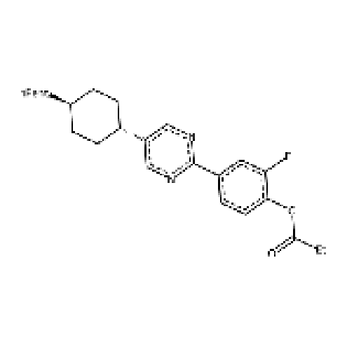 CCCCC[C@H]1CC[C@H](c2cnc(-c3ccc(OC(=O)CC)c(F)c3)nc2)CC1